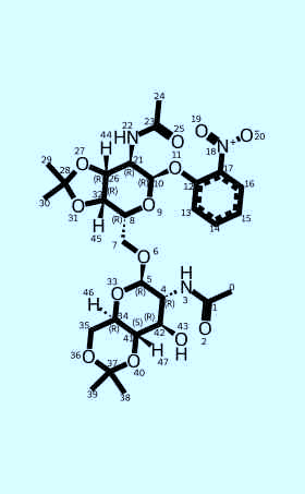 CC(=O)N[C@H]1[C@H](OC[C@H]2O[C@H](Oc3ccccc3[N+](=O)[O-])[C@H](NC(C)=O)[C@H]3OC(C)(C)O[C@H]32)O[C@@H]2COC(C)(C)O[C@H]2[C@@H]1O